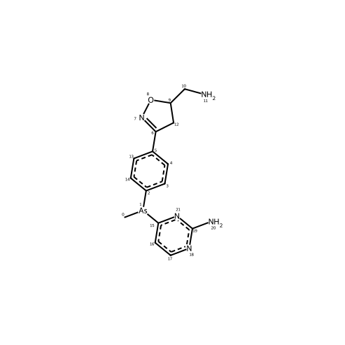 C[As](c1ccc(C2=NOC(CN)C2)cc1)c1ccnc(N)n1